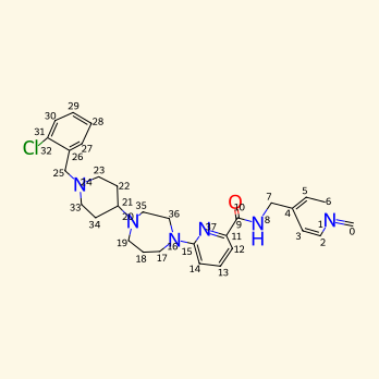 C=N/C=C\C(=C/C)CNC(=O)c1cccc(N2CCCN(C3CCN(Cc4ccccc4Cl)CC3)CC2)n1